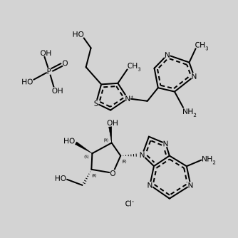 Cc1ncc(C[n+]2csc(CCO)c2C)c(N)n1.Nc1ncnc2c1ncn2[C@@H]1O[C@H](CO)[C@@H](O)[C@H]1O.O=P(O)(O)O.[Cl-]